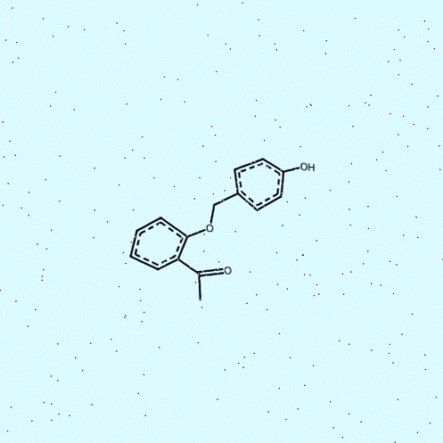 CC(=O)c1ccccc1OCc1ccc(O)cc1